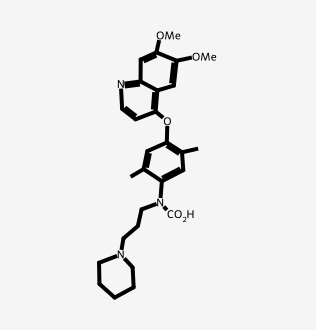 COc1cc2nccc(Oc3cc(C)c(N(CCCN4CCCCC4)C(=O)O)cc3C)c2cc1OC